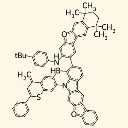 C=C1C=C(c2ccccc2)Sc2cc3c(cc21)Bc1c(-c2cc4c(cc2Nc2ccc(C(C)(C)C)cc2)oc2cc5c(cc24)C(C)(C)CCC5(C)C)ccc2c4cc5c(cc4n-3c12)oc1ccccc15